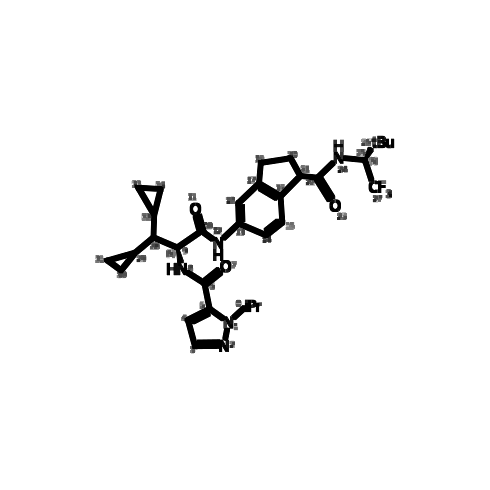 CC(C)n1nccc1C(=O)N[C@H](C(=O)Nc1ccc2c(c1)CCC2C(=O)N[C@@H](C(C)(C)C)C(F)(F)F)C(C1CC1)C1CC1